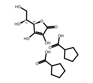 O=C(O)C1CCCC1.O=C(O)C1CCCC1.O=C1O[C@H]([C@@H](O)CO)C(O)=C1O